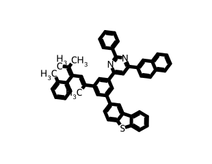 CC(C)=C(/C=C(\C)c1cc(-c2ccc3sc4ccccc4c3c2)cc(-c2cc(-c3ccc4ccccc4c3)nc(-c3ccccc3)n2)c1)c1ccccc1C